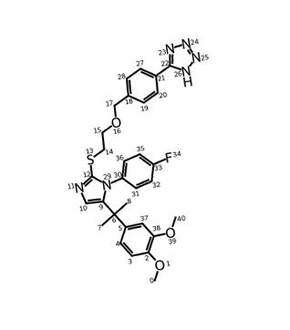 COc1ccc(C(C)(C)c2cnc(SCCOCc3ccc(-c4nnn[nH]4)cc3)n2-c2ccc(F)cc2)cc1OC